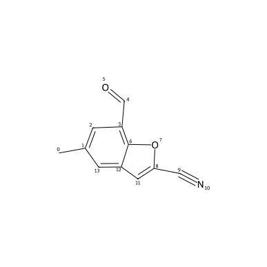 Cc1cc(C=O)c2oc(C#N)cc2c1